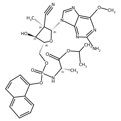 COc1nc(N)nc2c1ncn2[C@@H]1O[C@H](COP(=O)(N[C@@H](C)C(=O)OC(C)C)Oc2cccc3ccccc23)[C@@H](O)[C@@]1(C)C#N